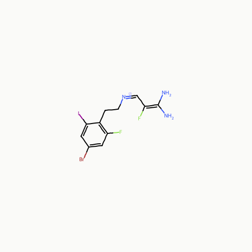 NC(N)=C(F)/C=N\CCc1c(F)cc(Br)cc1I